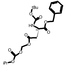 CC(C)OC(=O)OCOC(=O)C[C@H](NC(=O)OC(C)(C)C)C(=O)OCc1ccccc1